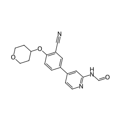 N#Cc1cc(-c2ccnc(NC=O)c2)ccc1OC1CCOCC1